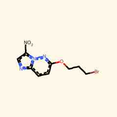 O=[N+]([O-])c1cnc2ccc(OCCCBr)nn12